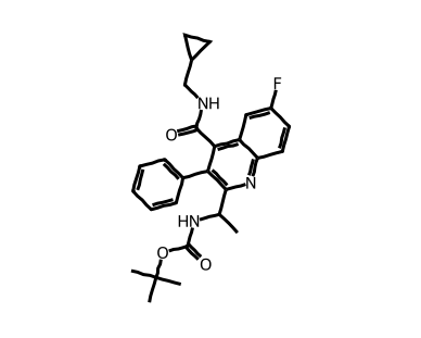 CC(NC(=O)OC(C)(C)C)c1nc2ccc(F)cc2c(C(=O)NCC2CC2)c1-c1ccccc1